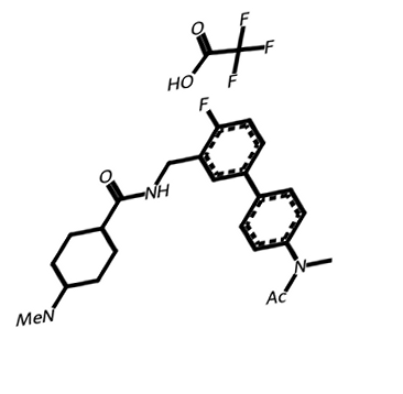 CNC1CCC(C(=O)NCc2cc(-c3ccc(N(C)C(C)=O)cc3)ccc2F)CC1.O=C(O)C(F)(F)F